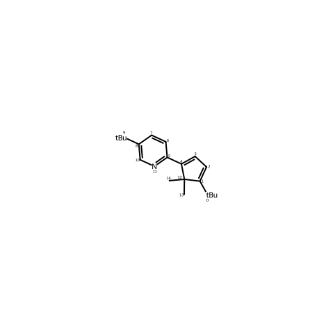 CC(C)(C)C1=CC=C(c2ccc(C(C)(C)C)cn2)C1(C)C